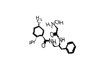 CC(C)[C@@H]1CC[C@@H](C)C[C@H]1C(=O)NC[C@H](Cc1ccccc1)NC(=O)CN.Cl